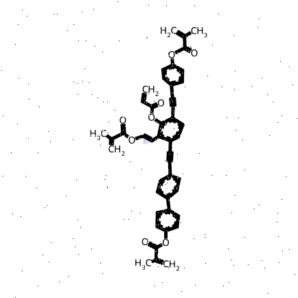 C=CC(=O)Oc1c(C#Cc2ccc(OC(=O)C(=C)C)cc2)ccc(C#Cc2ccc(-c3ccc(OC(=O)C(=C)C)cc3)cc2)c1/C=C/OC(=O)C(=C)C